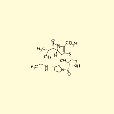 C[C@@H](O)[C@H]1C(=O)N2C(C(=O)O)=C(S[C@@H]3CN[C@H](C(=O)N4CC[C@H](CNCC(F)(F)F)C4)C3)[C@H](C)[C@H]12